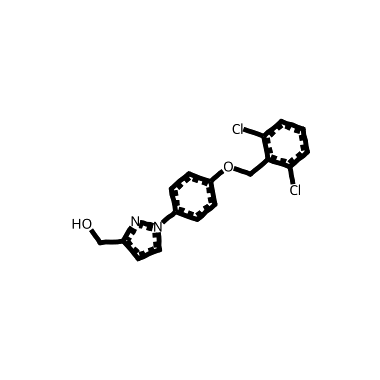 OCc1ccn(-c2ccc(OCc3c(Cl)cccc3Cl)cc2)n1